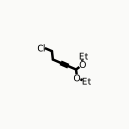 CCOC(C#CCCCl)OCC